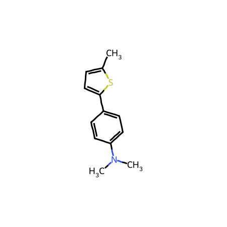 Cc1ccc(-c2ccc(N(C)C)cc2)s1